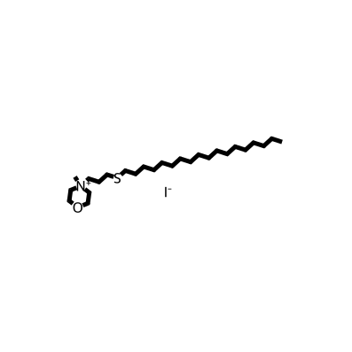 CCCCCCCCCCCCCCCCCCSCCC[N+]1(C)CCOCC1.[I-]